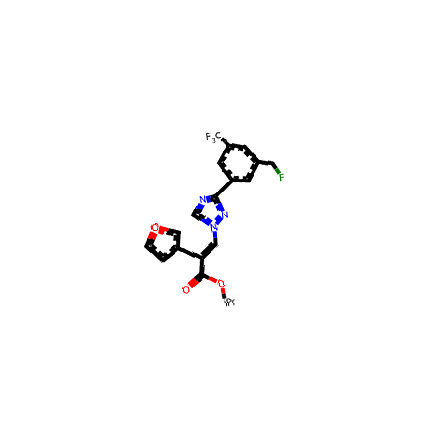 CC(C)OC(=O)C(=Cn1cnc(-c2cc(CF)cc(C(F)(F)F)c2)n1)c1ccoc1